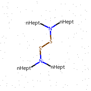 CCCCCCCN(CCCCCCC)SSN(CCCCCCC)CCCCCCC